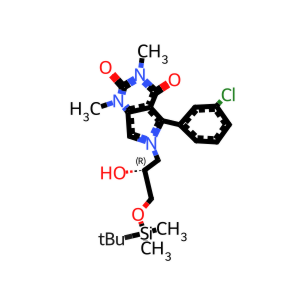 Cn1c(=O)c2c(-c3cccc(Cl)c3)n(C[C@@H](O)CO[Si](C)(C)C(C)(C)C)cc2n(C)c1=O